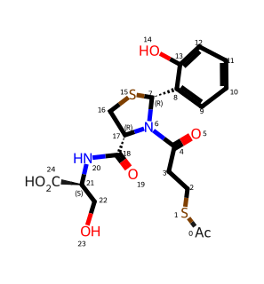 CC(=O)SCCC(=O)N1[C@@H](c2ccccc2O)SC[C@H]1C(=O)N[C@@H](CO)C(=O)O